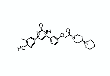 Cc1cc(-c2cc(-c3cccc(OCC(=O)N4CCC(N5CCCCC5)CC4)c3)[nH]c(=O)n2)ccc1O